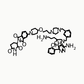 C=C(CCCN)CN(Cc1cccc(CN2CCN(CCCOC3CCN(c4ccc5c(c4)C(=O)N(C4CCC(=O)NC4=O)C5=O)CC3)CC2)c1)c1cc(-c2ccccc2O)nnc1N